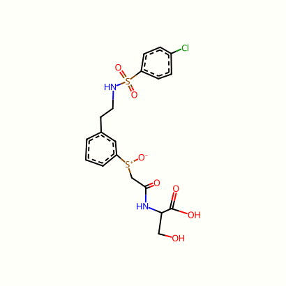 O=C(C[S+]([O-])c1cccc(CCNS(=O)(=O)c2ccc(Cl)cc2)c1)NC(CO)C(=O)O